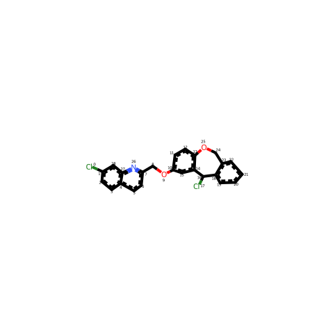 Clc1ccc2ccc(COc3ccc4c(c3)C(Cl)c3ccccc3CO4)nc2c1